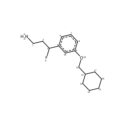 NCCC(F)c1cccc(OCC2CCCCC2)c1